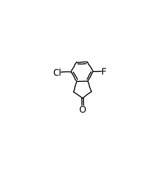 O=C1Cc2c(F)ccc(Cl)c2C1